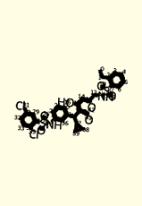 CCc1ccccc1S(=O)(=O)NCc1cc(O)c(C(c2cccc(NS(=O)(=O)c3cc(Cl)ccc3Cl)c2)C2CC2)c(=O)o1